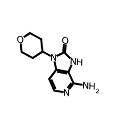 Nc1nccc2c1[nH]c(=O)n2C1CCOCC1